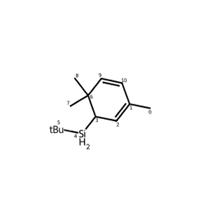 CC1=CC([SiH2]C(C)(C)C)C(C)(C)C=C1